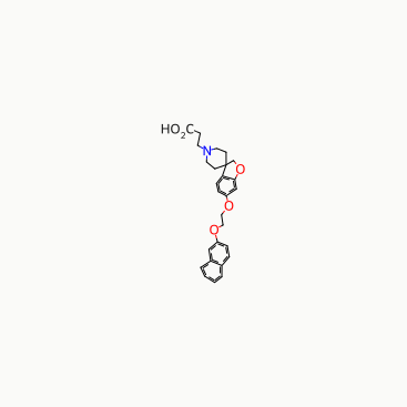 O=C(O)CCN1CCC2(CC1)COc1cc(OCCOc3ccc4ccccc4c3)ccc12